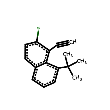 C#Cc1c(F)ccc2cccc(C(C)(C)C)c12